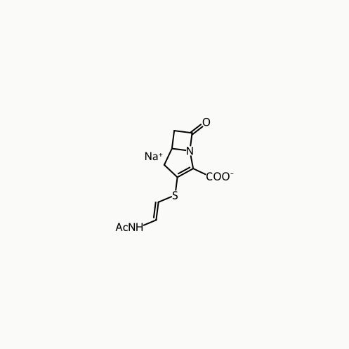 CC(=O)NC=CSC1=C(C(=O)[O-])N2C(=O)CC2C1.[Na+]